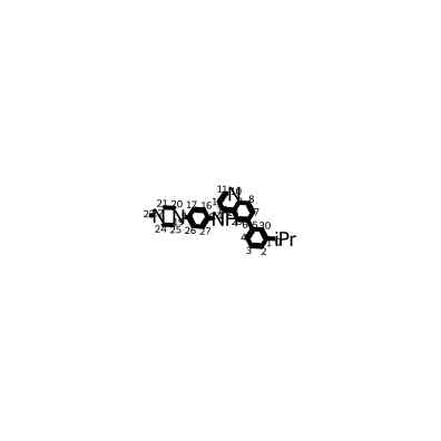 CC(C)c1cccc(-c2ccc3nccc(Nc4ccc(N5CCN(C)CC5)cc4)c3c2)c1